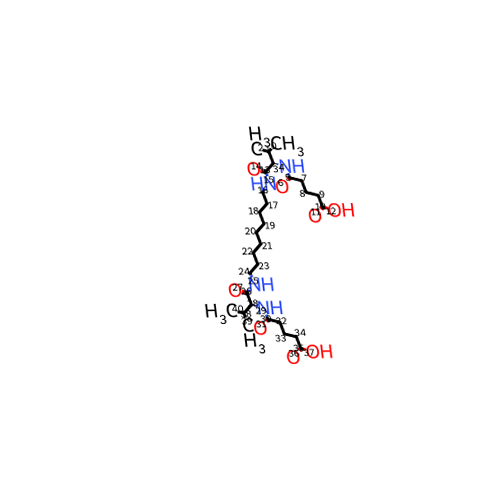 CC(C)[C@H](NC(=O)CCCC(=O)O)C(=O)NCCCCCCCCCNC(=O)[C@@H](NC(=O)CCCC(=O)O)C(C)C